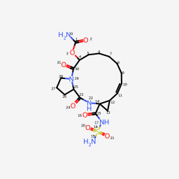 NC(=O)OC1CCCCC/C=C\C2CC2(C(=O)NS(N)(=O)=O)NC(=O)C2CCCN2C1=O